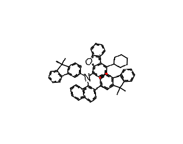 CC1(C)c2ccccc2-c2cc(N(c3c(-c4ccc5c(c4)C(C)(C)c4ccccc4-5)ccc4ccccc34)c3ccc(C4CCCCC4)c4c3oc3ccccc34)ccc21